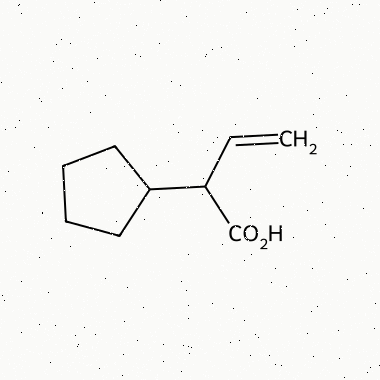 C=CC(C(=O)O)C1CCCC1